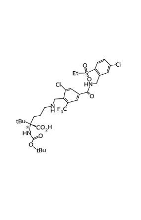 CCS(=O)(=O)c1ccc(Cl)cc1CNC(=O)c1cc(Cl)c(CNCCC[C@@](NC(=O)OC(C)(C)C)(C(=O)O)C(C)(C)C)c(C(F)(F)F)c1